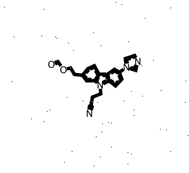 N#CCCn1c2ccc(-n3ccnc3)cc2c2ccc(CCOC=O)cc21